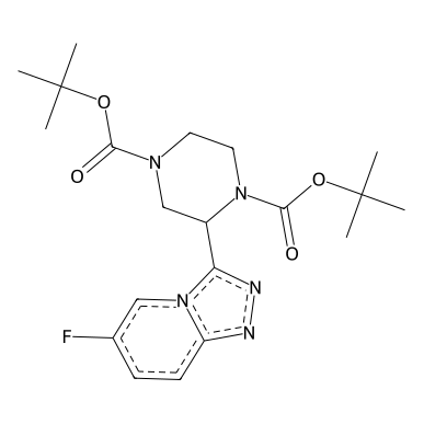 CC(C)(C)OC(=O)N1CCN(C(=O)OC(C)(C)C)C(c2nnc3ccc(F)cn23)C1